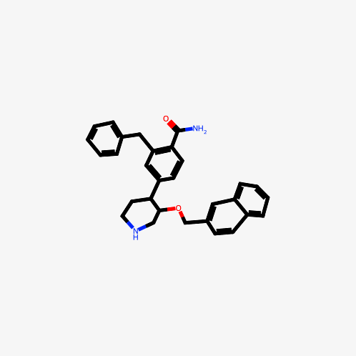 NC(=O)c1ccc(C2CCNCC2OCc2ccc3ccccc3c2)cc1Cc1ccccc1